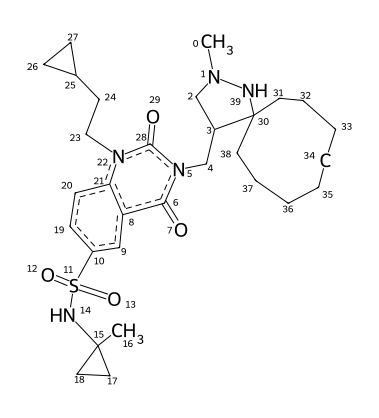 CN1CC(Cn2c(=O)c3cc(S(=O)(=O)NC4(C)CC4)ccc3n(CCC3CC3)c2=O)C2(CCCCCCCC2)N1